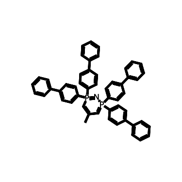 CC1=CP(c2ccc(-c3ccccc3)cc2)(c2ccc(-c3ccccc3)cc2)=NP(c2ccc(-c3ccccc3)cc2)(c2ccc(-c3ccccc3)cc2)=C1